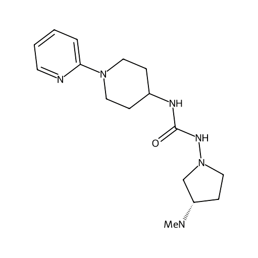 CN[C@H]1CCN(NC(=O)NC2CCN(c3ccccn3)CC2)C1